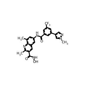 Cc1nc2c(C)cc(NC(=O)c3cc(-c4cnn(C)c4)cc(C(F)(F)F)c3)cc2cc1C(=O)NO